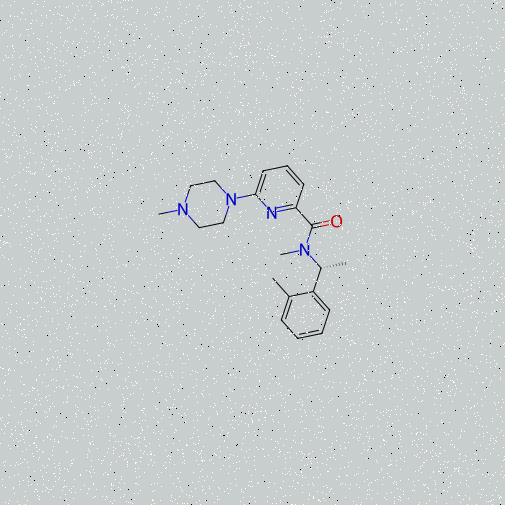 Cc1ccccc1[C@@H](C)N(C)C(=O)c1cccc(N2CCN(C)CC2)n1